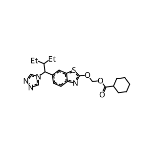 CCC(CC)C(c1ccc2nc(OCOC(=O)C3CCCCC3)sc2c1)n1cnnc1